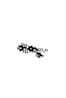 Cc1cc(NC(Cc2ccc(NC(=O)c3c(Cl)cncc3Cl)cc2)C(=O)O)on1